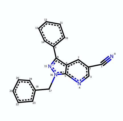 N#Cc1cnc2c(c1)c(-c1ccccc1)nn2Cc1ccccc1